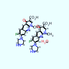 Cn1cc(C(=O)O)c(=O)c2cc3cc(F)c(N4CCNCC4)cc3nc21.Cn1cc(C(=O)O)c(=O)c2cc3cc(F)c(N4CCNCC4)cc3nc21.O